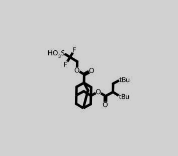 CC(C)(C)CC(C(=O)OC12CC3CC(C1)CC(C(=O)OCC(F)(F)S(=O)(=O)O)(C3)C2)C(C)(C)C